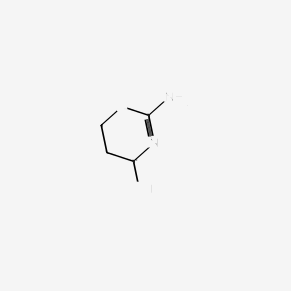 C[C]1CCSC(N)=N1